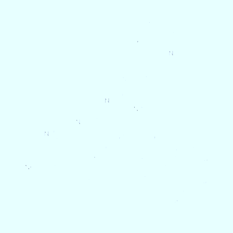 CN1CCC[C@H]1COc1nc(N2CCN[C@@H](CC#N)C2)c2c(cc(-c3cccc4cccc(Cl)c34)c3ccoc32)n1